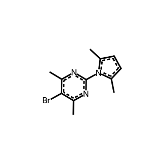 Cc1nc(-n2c(C)ccc2C)nc(C)c1Br